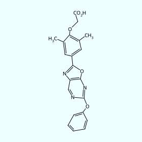 Cc1cc(-c2nc3cnc(Oc4ccccc4)nc3o2)cc(C)c1OCC(=O)O